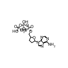 BP(=O)(OCC1CCC(n2cnc3c(N)ncnc32)O1)OP(=O)(O)OP(=O)(O)O